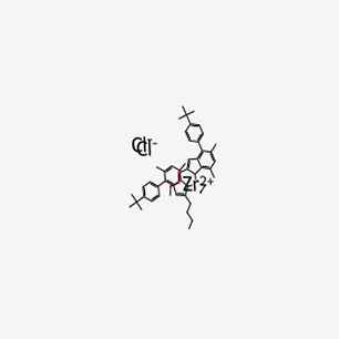 CCCCC1=Cc2c(-c3ccc(C(C)(C)C)cc3)c(C)cc(C)c2[CH]1[Zr+2]1([CH]2C(CCCC)=Cc3c(-c4ccc(C(C)(C)C)cc4)c(C)cc(C)c32)[CH2][CH2]1.[Cl-].[Cl-]